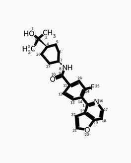 CC(C)(O)[C@H]1CC[C@H](NC(=O)c2ccc(-c3nccc4occc34)c(F)c2)CC1